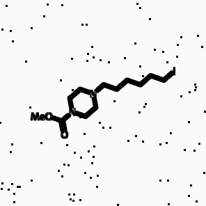 COC(=O)N1CCN(CCCCCCI)CC1